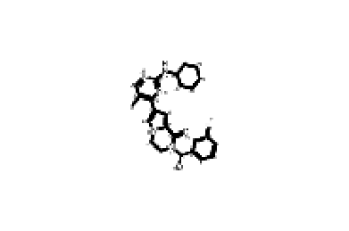 CC[C@H](c1cccc(Cl)c1)N1CCn2cc(-c3nc(NC4CCCCC4)ncc3C)cc2C1=O